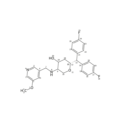 COc1cncc(CNC2CO[C@@H](C(c3ccc(F)cc3)c3ccc(F)cc3)CC2O)c1